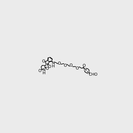 O=CN1CCN(C(=O)CCOCCOCCOCCOCCNc2cccc3c2C(=O)N(C2CCC(=O)NC2=O)C3=O)CC1